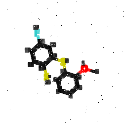 COc1ccccc1Sc1cc(F)ccc1[S]